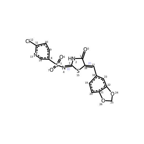 O=C1N/C(=N\S(=O)(=O)c2ccc(Cl)nc2)S/C1=C\c1ccc2c(c1)OCO2